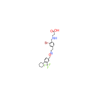 O=C(O)CCNCc1ccc(CC=NOCc2ccc(C3CCCCC3)c(C(F)(F)F)c2)cc1Br